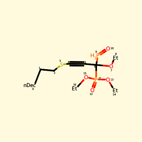 CCCCCCCCCCCCSC#CC(OCC)([PH2]=O)P(=O)(OCC)OCC